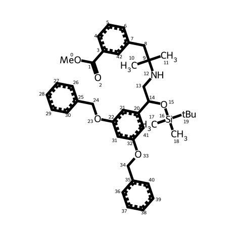 COC(=O)c1cccc(CC(C)(C)NCC(O[Si](C)(C)C(C)(C)C)c2cc(OCc3ccccc3)cc(OCc3ccccc3)c2)c1